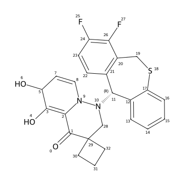 O=C1C2=C(O)C(O)C=CN2N([C@H]2c3ccccc3SCc3c2ccc(F)c3F)CC12CCC2